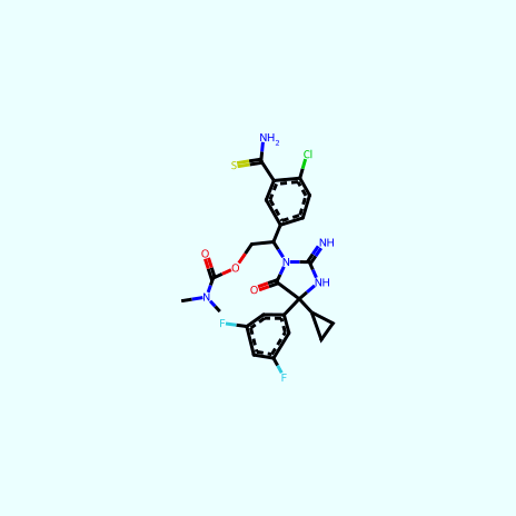 CN(C)C(=O)OCC(c1ccc(Cl)c(C(N)=S)c1)N1C(=N)NC(c2cc(F)cc(F)c2)(C2CC2)C1=O